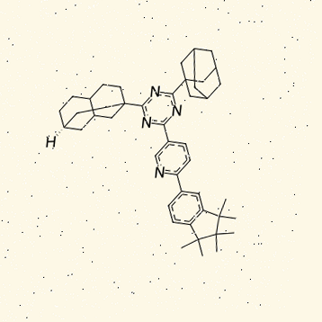 CC1(C)c2ccc(-c3ccc(-c4nc(C56CC7CC(CC(C7)C5)C6)nc(C56CCC7CC[C@H](CC7C5)C6)n4)cn3)cc2C(C)(C)C1(C)C